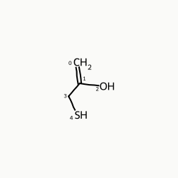 C=C(O)CS